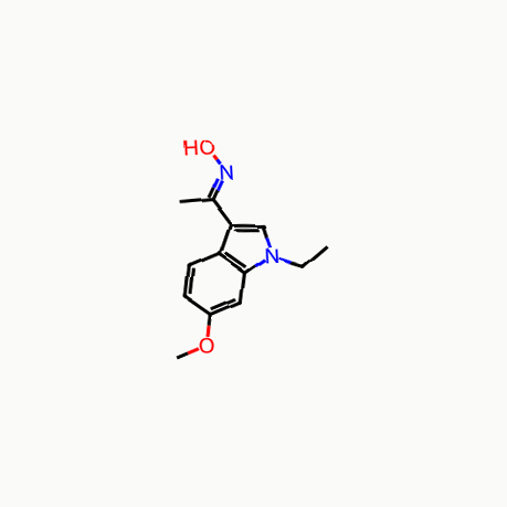 CCn1cc(/C(C)=N/O)c2ccc(OC)cc21